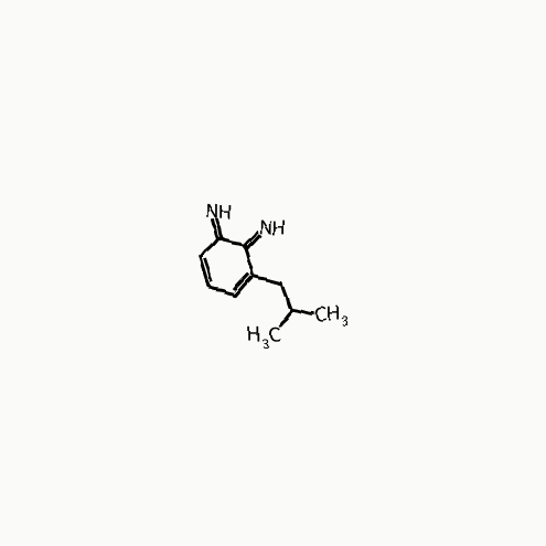 CC(C)CC1=CC=CC(=N)C1=N